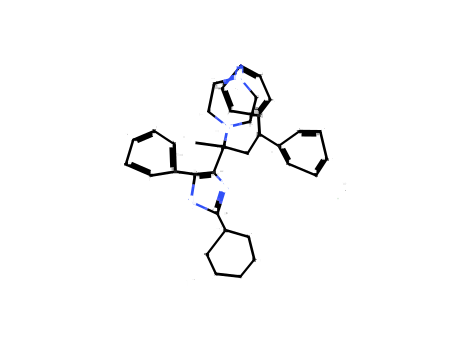 CC(CC(c1ccccc1)c1ccccc1)(c1nc(C2CCCCC2)[nH]c1-c1ccccc1)N1CCNCC1.Cl.Cl.Cl